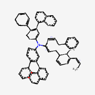 C/C=C\C1=CC=CC(C/C=C(\C=C/Cc2ccccc2)N(C2=CC(c3cccc4ccccc34)=C(C3=CC=CCC3)CC2)c2ccc(-c3ccccc3)c(-c3cccc4ccccc34)c2)C1C